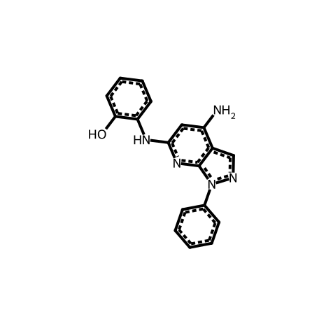 Nc1cc(Nc2ccccc2O)nc2c1cnn2-c1ccccc1